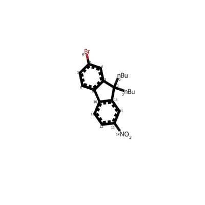 CCCCC1(CCCC)c2cc(Br)ccc2-c2ccc([N+](=O)[O-])cc21